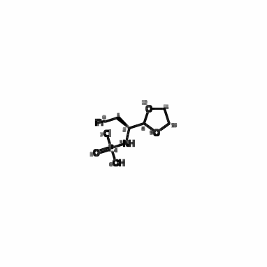 CC(C)C[C@H](NP(=O)(O)Cl)C1OCCO1